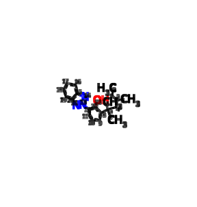 CCC(C)CC(C)(C)c1cccc(-n2nc3ccccc3n2)c1O